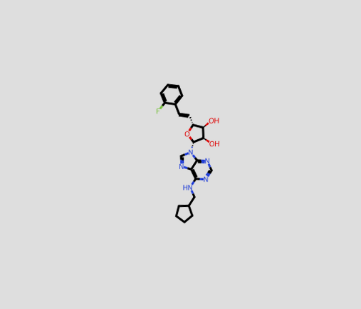 O[C@@H]1[C@H](O)[C@@H](C=Cc2ccccc2F)O[C@H]1n1cnc2c(NCC3CCCC3)ncnc21